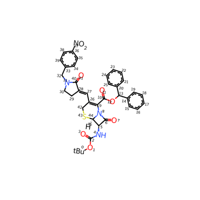 CC(C)(C)OC(=O)N[C@@H]1C(=O)N2C(C(=O)OC(c3ccccc3)c3ccccc3)=C(/C=C3\CCN(Cc4ccc([N+](=O)[O-])cc4)C3=O)CS[C@H]12